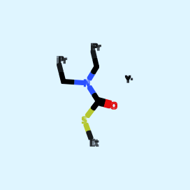 CCSC(=O)N(CC(C)C)CC(C)C.[Y]